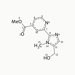 COC(=O)c1ccnc(-c2ncc(CO)n2C)c1